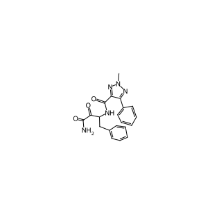 Cn1nc(C(=O)NC(Cc2ccccc2)C(=O)C(N)=O)c(-c2ccccc2)n1